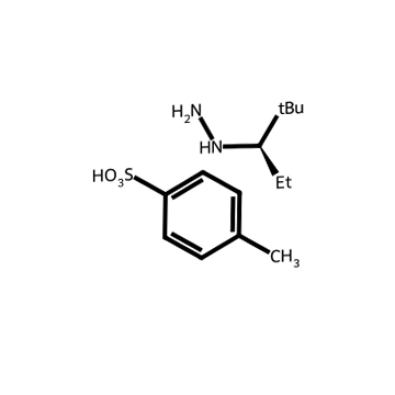 CC[C@@H](NN)C(C)(C)C.Cc1ccc(S(=O)(=O)O)cc1